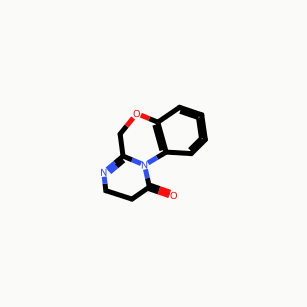 O=C1CCN=C2COC3=C(C=C=C=C3)N12